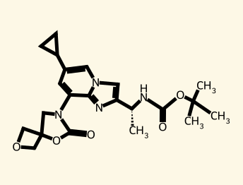 C[C@@H](NC(=O)OC(C)(C)C)c1cn2cc(C3CC3)cc(N3CC4(COC4)OC3=O)c2n1